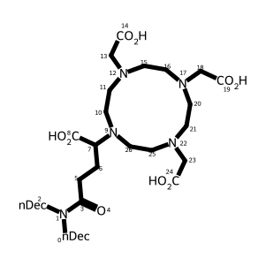 CCCCCCCCCCN(CCCCCCCCCC)C(=O)CCC(C(=O)O)N1CCN(CC(=O)O)CCN(CC(=O)O)CCN(CC(=O)O)CC1